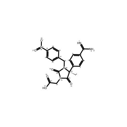 C[C@]1(c2ccc(C(=N)N)cc2)C(=O)N(CC(=O)O)C(=O)N1Cc1ccc([N+](=O)[O-])cc1